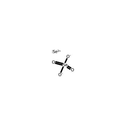 O=[Se](=O)([O-])[O-].[Se+2]